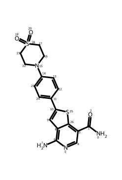 NC(=O)c1cnc(N)c2cc(-c3ccc(N4CCS(=O)(=O)CC4)cc3)sc12